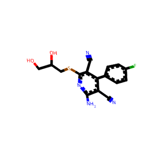 N#Cc1c(N)nc(SCC(O)CO)c(C#N)c1-c1ccc(F)cc1